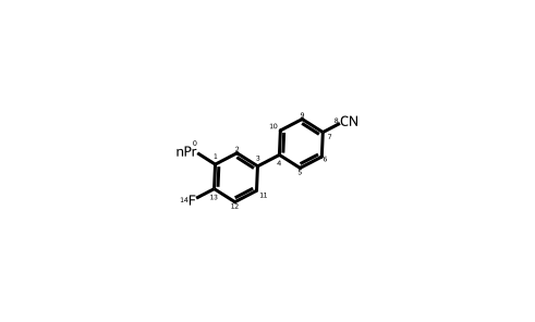 [CH2]CCc1cc(-c2ccc(C#N)cc2)ccc1F